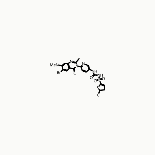 CNc1cc2nc(C)n(-c3ccc(NC(=O)NS(=O)(=O)C4=CCC(Cl)S4)cn3)c(=O)c2cc1Br